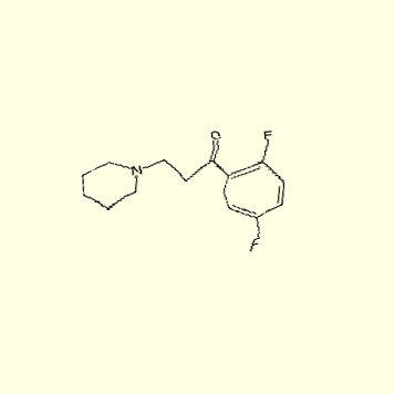 O=C(CCN1CCCCC1)c1cc(F)ccc1F